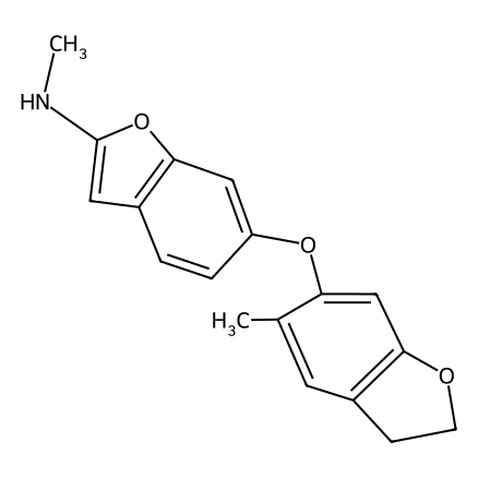 CNc1cc2ccc(Oc3cc4c(cc3C)CCO4)cc2o1